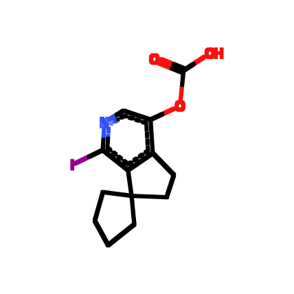 O=C(O)Oc1cnc(I)c2c1CCC21CCCC1